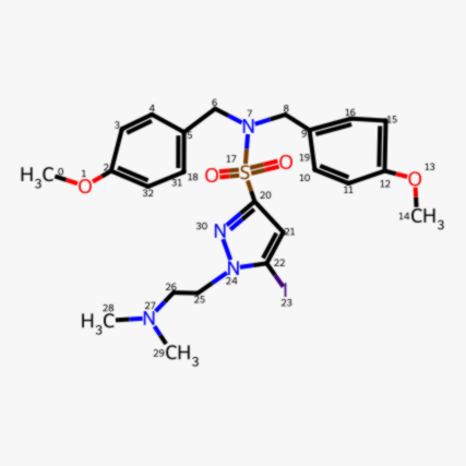 COc1ccc(CN(Cc2ccc(OC)cc2)S(=O)(=O)c2cc(I)n(CCN(C)C)n2)cc1